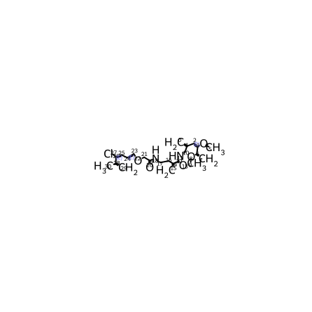 C=C(/C=C(/OC)C(=C)OC)CNC(=O)C(=C)CCNC(=O)CO/C=C/C=C(/Cl)C(=C)C